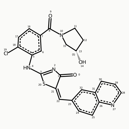 O=C1N=C(Nc2cc(C(=O)N3CC[C@H](O)C3)ccc2Cl)SC1=Cc1ccc2ncccc2c1